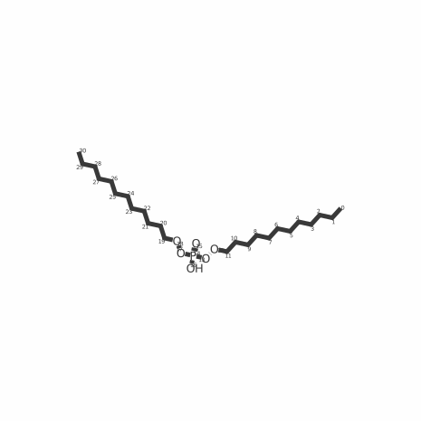 CCCCCCCCCCCCOOP(=O)(O)OOCCCCCCCCCCCC